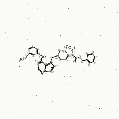 COc1cccc(Nc2ncnn3ccc(CN4CCC(NC(=O)OCc5ccccc5)[C@@H](C(=O)O)C4)c23)c1